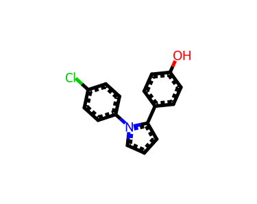 Oc1ccc(-c2cccn2-c2ccc(Cl)cc2)cc1